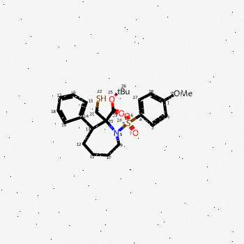 COc1ccc(S(=O)(=O)N2CCCCC(c3ccccc3)C2(CS)C(=O)OC(C)(C)C)cc1